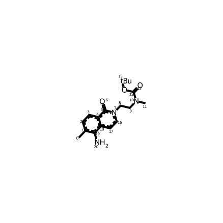 Cc1ccc2c(=O)n(CCN(C)C(=O)OC(C)(C)C)ccc2c1N